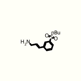 CCCCS(=O)(=O)c1cccc(/C=C/CN)c1